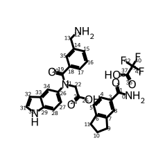 NC(=O)c1ccc2c(c1)CCC2.NCc1cccc(C(=O)N(CC(=O)O)c2ccc3[nH]ccc3c2)c1.O=C(O)C(F)(F)F